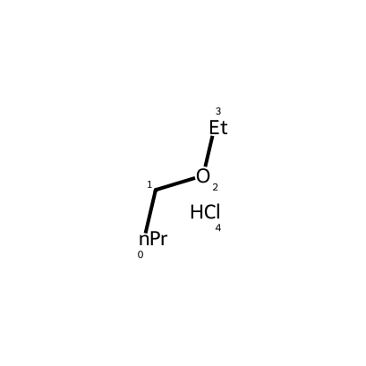 CCCCOCC.Cl